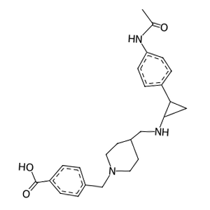 CC(=O)Nc1ccc(C2CC2NCC2CCN(Cc3ccc(C(=O)O)cc3)CC2)cc1